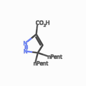 CCCCCC1(CCCCC)C=C(C(=O)O)N=N1